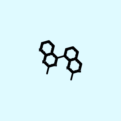 Cc1nc(-c2cccc3cnc(C)nc23)c2cccnc2n1